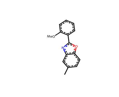 COc1ccccc1-c1nc2cc(C)ccc2o1